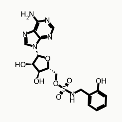 Nc1ncnc2c1ncn2[C@@H]1O[C@H](COS(=O)(=O)NCc2ccccc2O)[C@@H](O)[C@H]1O